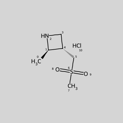 C[C@H]1NC[C@@H]1CS(C)(=O)=O.Cl